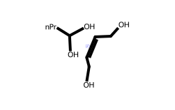 CCCC(O)O.OC/C=C\CO